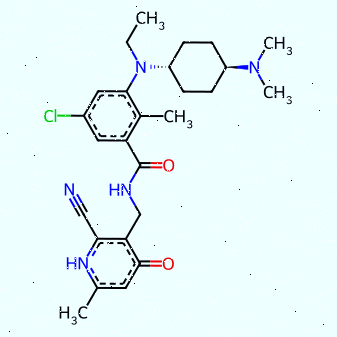 CCN(c1cc(Cl)cc(C(=O)NCc2c(C#N)[nH]c(C)cc2=O)c1C)[C@H]1CC[C@H](N(C)C)CC1